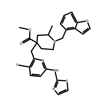 COC(=O)C1(Cc2nc(Nc3nccs3)ccc2F)CCN(Cc2cccc3occc23)C(C)C1